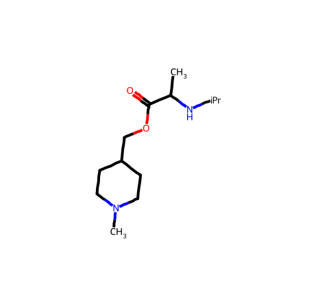 CC(C)NC(C)C(=O)OCC1CCN(C)CC1